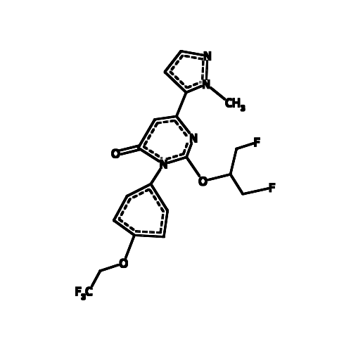 Cn1nccc1-c1cc(=O)n(-c2ccc(OCC(F)(F)F)cc2)c(OC(CF)CF)n1